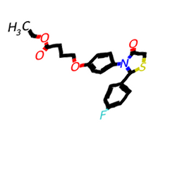 CCOC(=O)CCCOc1ccc(N2C(=O)CSC2c2ccc(F)cc2)cc1